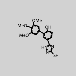 COc1cc(-c2cc(-c3nc(S)n[nH]3)ccc2O)cc(OC)c1OC